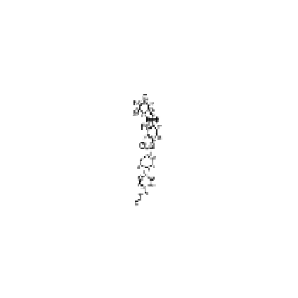 C=CCCC1COC(C2CCC(C(=O)Oc3ccc(C(F)(F)Oc4cc(F)c(F)c(F)c4)c(F)c3)CC2)OC1